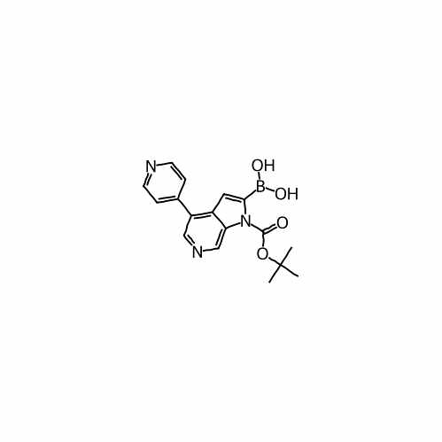 CC(C)(C)OC(=O)n1c(B(O)O)cc2c(-c3ccncc3)cncc21